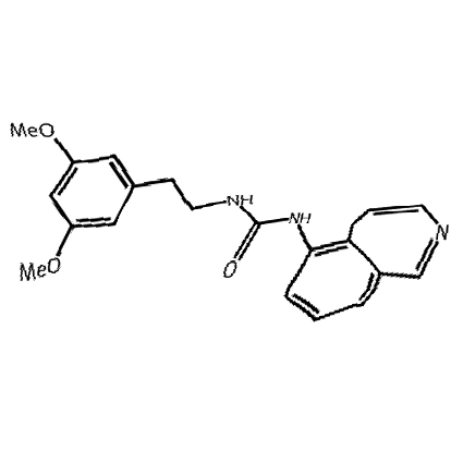 COc1cc(CCNC(=O)Nc2cccc3cnccc23)cc(OC)c1